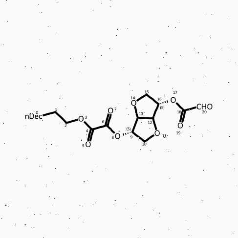 [CH2]CCCCCCCCCCCOC(=O)C(=O)O[C@H]1COC2C1OC[C@@H]2OC(=O)C=O